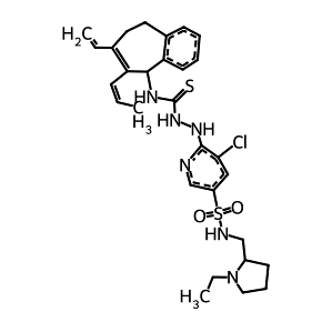 C=CC1=C(/C=C\C)C(NC(=S)NNc2ncc(S(=O)(=O)NCC3CCCN3CC)cc2Cl)c2ccccc2CC1